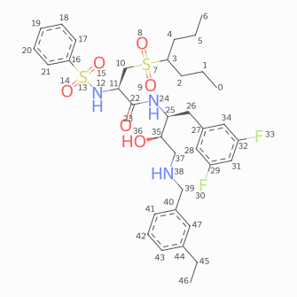 CCCC(CCC)S(=O)(=O)C[C@H](NS(=O)(=O)c1ccccc1)C(=O)N[C@@H](Cc1cc(F)cc(F)c1)[C@H](O)CNCc1cccc(CC)c1